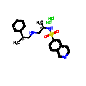 C[C@H](CNC[C@@H](C)c1ccccc1)NS(=O)(=O)c1ccc2cnccc2c1.Cl.Cl